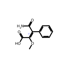 CO/C(C(=O)O)=C(/C(N)=O)c1ccccc1